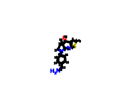 Cc1cc2c(s1)N=C1N(c3ccc(CN)cc3)CCC1(C)C2=O